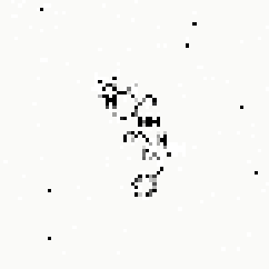 Cc1ncn2c1N(C)C(=O)C(NC(=O)c1n[nH]c(Cc3ccccc3)n1)CC2